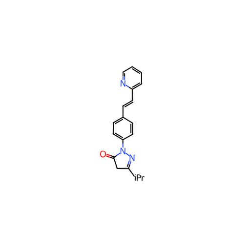 CC(C)C1=NN(c2ccc(C=Cc3ccccn3)cc2)C(=O)C1